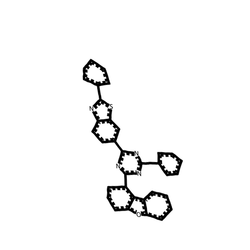 c1ccc(-c2nc(-c3ccc4nc(-c5ccccc5)sc4c3)nc(-c3cccc4oc5ccccc5c34)n2)cc1